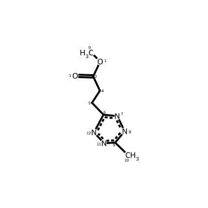 COC(=O)CCc1nnc(C)nn1